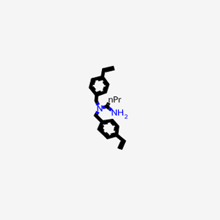 C=Cc1ccc(CN(Cc2ccc(C=C)cc2)C(N)CCC)cc1